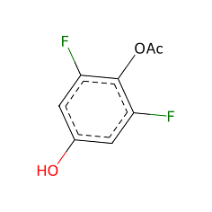 CC(=O)Oc1c(F)cc(O)cc1F